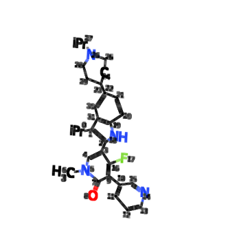 CC(C)c1c(-c2cn(C)c(=O)c(-c3cccnc3)c2F)[nH]c2ccc(C3CCN(C(C)C)CC3)cc12